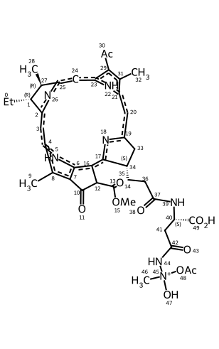 CC[C@H]1c2cc3[nH]c4c(c3C)C(=O)C(C(=O)OC)c4c3nc(cc4[nH]c(cc(n2)[C@@H]1C)c(C(C)=O)c4C)C[C@@H]3CCC(=O)N[C@@H](CC(=O)N[N+](C)(O)OC(C)=O)C(=O)O